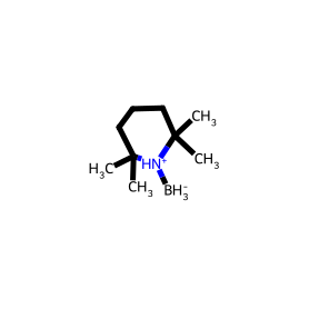 [BH3-][NH+]1C(C)(C)CCCC1(C)C